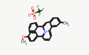 COc1ccc(-c2cccc3c4cc(C)ccc4cc(-c4ccccc4)[n+]23)cc1.O=S(=O)([O-])C(F)(F)F